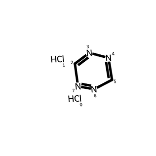 Cl.Cl.c1nncnn1